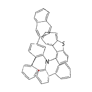 c1ccc(-c2ccccc2N(c2cc(-c3ccc4ccccc4c3)ccc2-c2ccccc2)c2cccc3sc4ccccc4c23)cc1